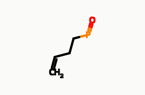 C=CCCP=O